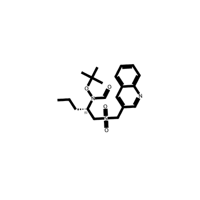 CCC[C@@H](CS(=O)(=O)Cc1cnc2ccccc2c1)N(C=O)OC(C)(C)C